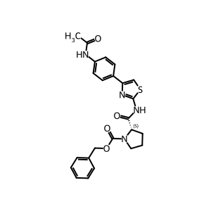 CC(=O)Nc1ccc(-c2csc(NC(=O)[C@@H]3CCCN3C(=O)OCc3ccccc3)n2)cc1